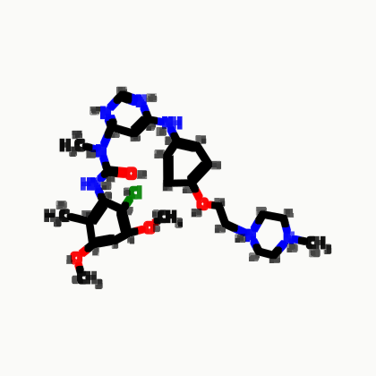 COc1cc(OC)c(Cl)c(NC(=O)N(C)c2cc(Nc3ccc(OCCN4CCN(C)CC4)cc3)ncn2)c1C